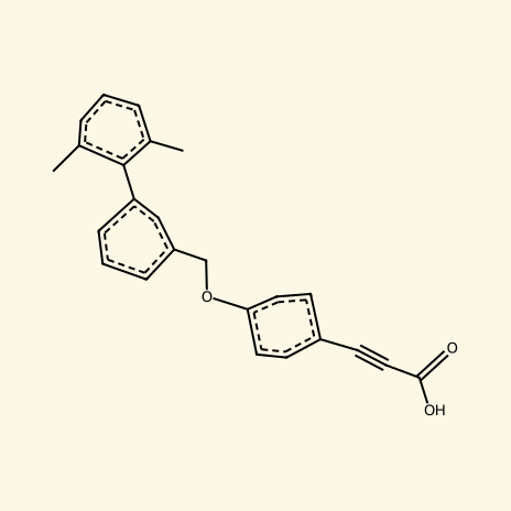 Cc1cccc(C)c1-c1cccc(COc2ccc(C#CC(=O)O)cc2)c1